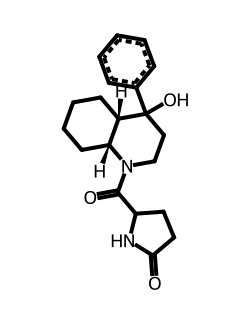 O=C1CCC(C(=O)N2CCC(O)(c3ccccc3)[C@H]3CCCC[C@H]32)N1